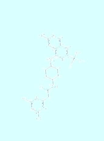 O=C(Cc1cc(F)cc(Cl)c1)NC1CCC(Nc2cc(C(F)(F)F)nc3ccc(Cl)cc23)CC1